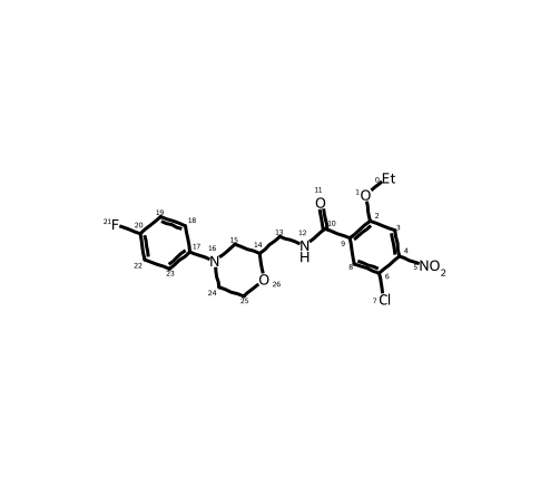 CCOc1cc([N+](=O)[O-])c(Cl)cc1C(=O)NCC1CN(c2ccc(F)cc2)CCO1